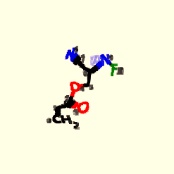 C=CC(=O)OC/C(C#N)=N\F